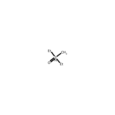 CC[SH](C)(=O)CC